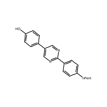 CCCCCc1ccc(-c2ncc(-c3ccc(O)cc3)cn2)cc1